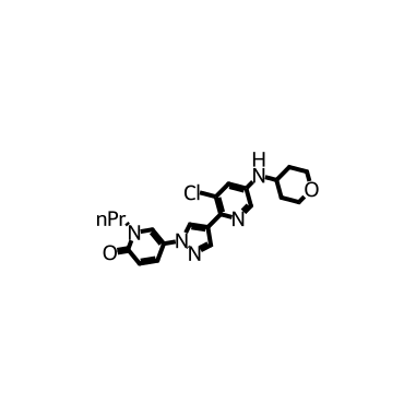 CCCn1cc(-n2cc(-c3ncc(NC4CCOCC4)cc3Cl)cn2)ccc1=O